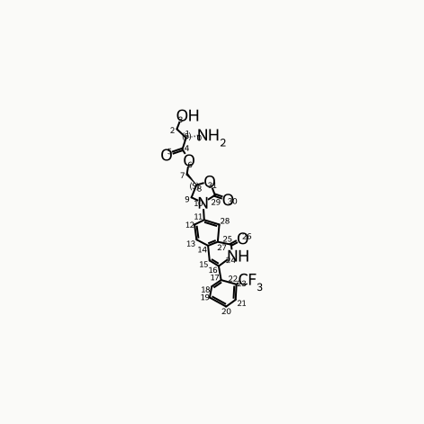 N[C@@H](CO)C(=O)OC[C@@H]1CN(c2ccc3cc(-c4ccccc4C(F)(F)F)[nH]c(=O)c3c2)C(=O)O1